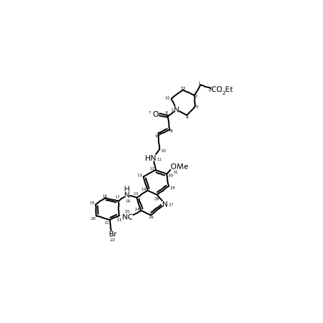 CCOC(=O)CC1CCN(C(=O)C=CCNc2cc3c(Nc4cccc(Br)c4)c(C#N)cnc3cc2OC)CC1